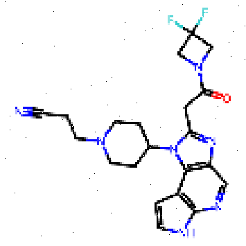 N#CCCN1CCC(n2c(CC(=O)N3CC(F)(F)C3)nc3cnc4[nH]ccc4c32)CC1